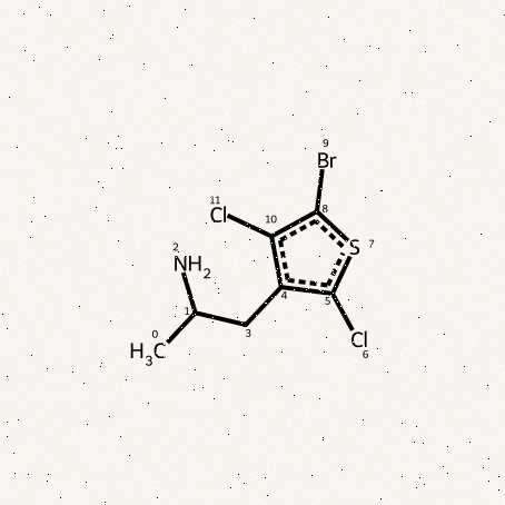 CC(N)Cc1c(Cl)sc(Br)c1Cl